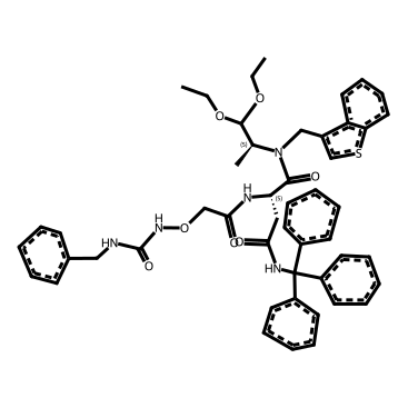 CCOC(OCC)[C@H](C)N(Cc1csc2ccccc12)C(=O)[C@H](CC(=O)NC(c1ccccc1)(c1ccccc1)c1ccccc1)NC(=O)CONC(=O)NCc1ccccc1